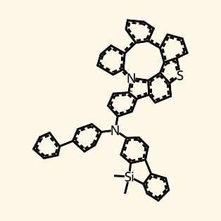 C[Si]1(C)c2ccccc2-c2ccc(N(c3ccc(-c4ccccc4)cc3)c3ccc4c(c3)c3ccc5sc6cccc7c8ccccc8c8ccccc8n4c3c5c67)cc21